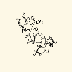 O=C(O)c1c(Oc2ccc(-c3ccccc3-c3nn[nH]n3)cc2)c(C2CC2)nc2ncccc12